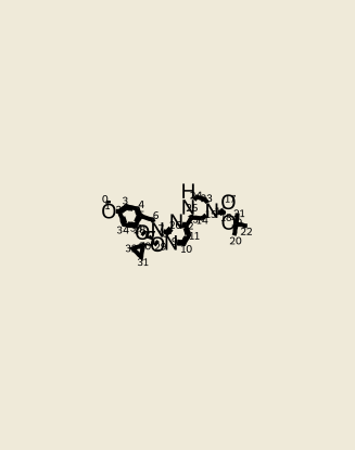 COc1ccc(CN(c2nccc(C3CN(C(=O)OC(C)(C)C)CCN3)n2)S(=O)(=O)C2CC2)cc1